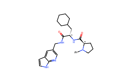 CC(C)N1CCC[C@@H]1C(=O)N[C@@H](CC1CCCCC1)C(=O)NCc1cnc2[nH]ccc2c1